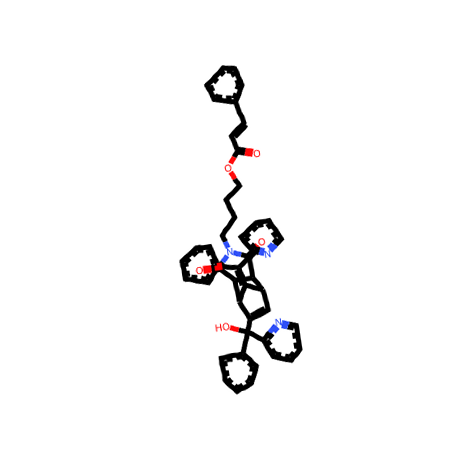 O=C(C=Cc1ccccc1)OCCCCN1C(=O)C2C3C=C(C(O)(c4ccccc4)c4ccccn4)C(C3=C(c3ccccc3)c3ccccn3)C2C1=O